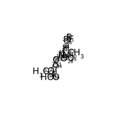 CCOC(Cc1ccc(OCCN(CCCCCCC(F)(F)F)C(=O)Nc2ccccc2C)cc1)C(=O)O